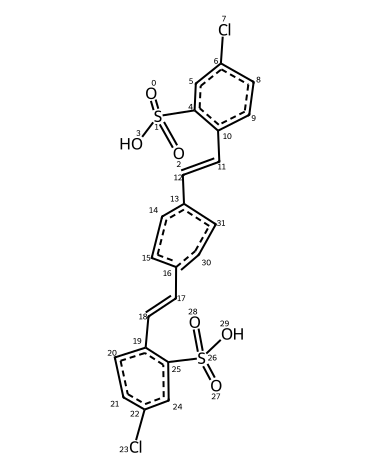 O=S(=O)(O)c1cc(Cl)ccc1C=Cc1ccc(C=Cc2ccc(Cl)cc2S(=O)(=O)O)cc1